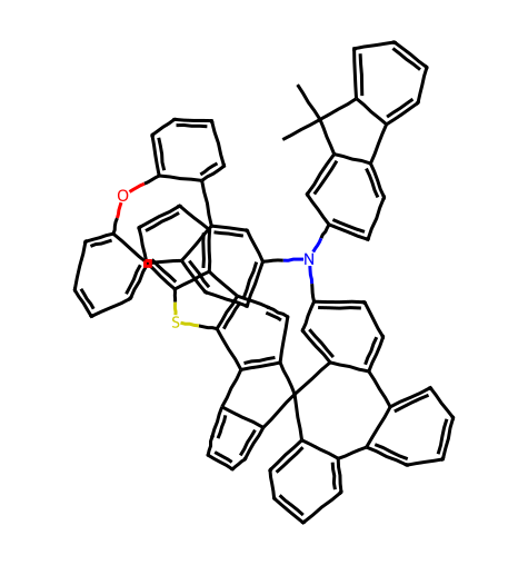 CC1(C)c2ccccc2-c2ccc(N(c3ccc4c(c3)-c3ccccc3Oc3ccccc3-4)c3ccc4c(c3)C3(c5ccccc5-c5ccccc5-4)c4ccccc4-c4c3ccc3c4sc4ccccc43)cc21